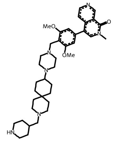 COc1cc(-c2cn(C)c(=O)c3cnccc23)cc(OC)c1CN1CCN(C2CCC3(CC2)CCN(CC2CCNCC2)CC3)CC1